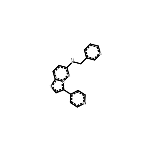 c1cncc(CNc2ccc3ncc(-c4ccncc4)n3n2)c1